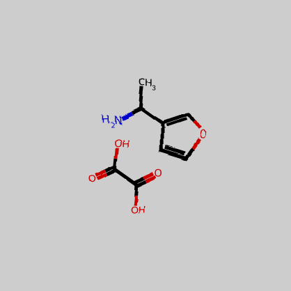 CC(N)c1ccoc1.O=C(O)C(=O)O